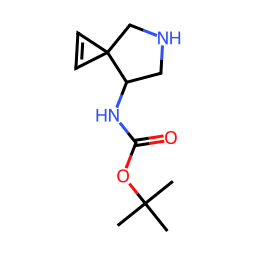 CC(C)(C)OC(=O)NC1CNCC12C=C2